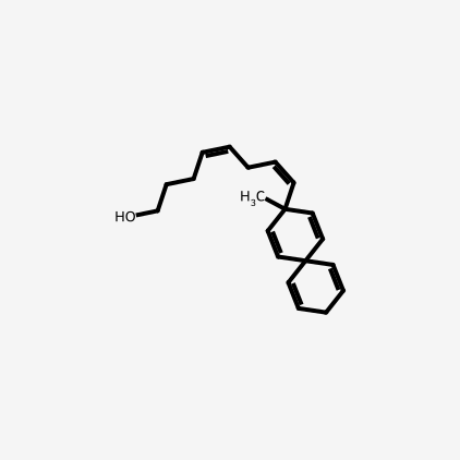 CC1(/C=C\C/C=C\CCCO)C=CC2(C=CCC=C2)C=C1